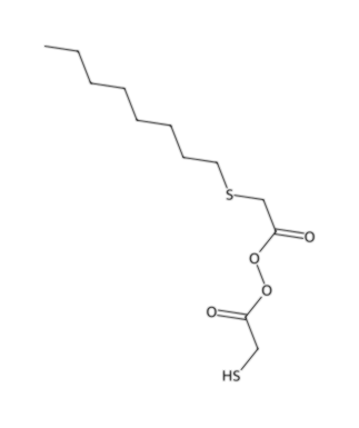 CCCCCCCCSCC(=O)OOC(=O)CS